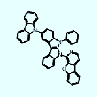 c1ccc(-n2c3ccc(-n4c5ccccc5c5ccccc54)cc3c3c4ccccc4n(-c4nccc5c4oc4ccccc45)c32)cc1